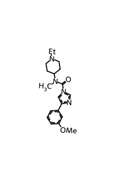 CCN1CCC(N(C)C(=O)n2cnc(-c3cccc(OC)c3)c2)CC1